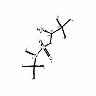 CN(C(C)(C)C)S(=O)(=O)C[C@@H](N)C(C)(C)C